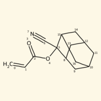 C=CC(=O)OC1(C#N)C2CC3CC(C2)CC1C3